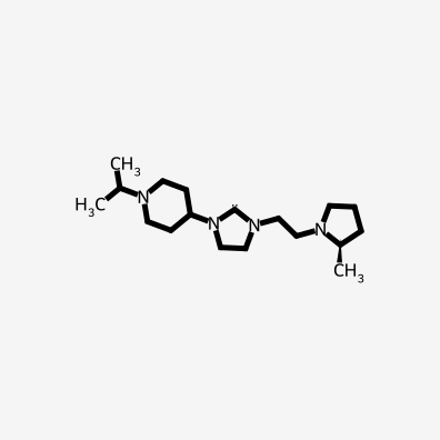 CC(C)N1CCC(N2[C]N(CCN3CCC[C@H]3C)CC2)CC1